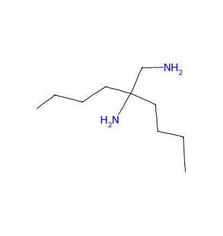 CCCCC(N)(CN)CCCC